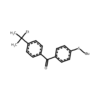 CCC(C)Sc1ccc(C(=O)c2ccc(C(C)(C)CC)cc2)cc1